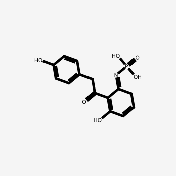 O=C(Cc1ccc(O)cc1)C1=C(O)C=CCC1=NP(=O)(O)O